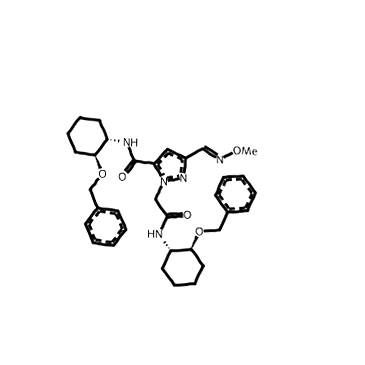 CON=Cc1cc(C(=O)N[C@H]2CCCC[C@@H]2OCc2ccccc2)n(CC(=O)N[C@H]2CCCC[C@@H]2OCc2ccccc2)n1